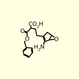 NC1=C(CCC(C(=O)O)C(=O)OCc2ccccc2)CC2OC12